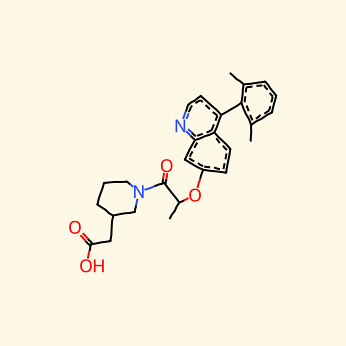 Cc1cccc(C)c1-c1ccnc2cc(OC(C)C(=O)N3CCCC(CC(=O)O)C3)ccc12